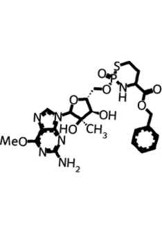 COc1nc(N)nc2c1ncn2C1O[C@H](COP2(=O)NC(C(=O)OCc3ccccc3)CCS2)[C@@H](O)[C@@]1(C)O